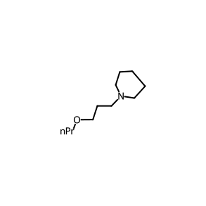 CCCOCCCN1CCCCC1